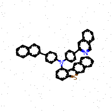 c1ccc2cc(-c3ccc(N(c4ccc(-c5cc6ccccc6cn5)cc4)c4cccc5sc6cc7ccccc7cc6c45)cc3)ccc2c1